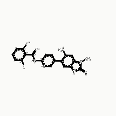 Cc1cc2c(cc1-c1ccc(NC(=O)c3c(F)cccc3F)nc1)oc(=O)n2C